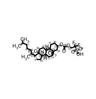 CC(C)CCC[C@@H](C)[C@H]1CC[C@H]2[C@@H]3CC=C4C[C@@H](OC(=O)OCC(F)(F)S(=O)(=O)O)CC[C@]4(C)[C@H]3CC[C@]12C